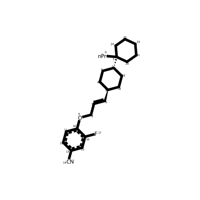 CCCC1([C@H]2CC[C@H](/C=C/COc3ccc(C#N)cc3F)CC2)CCCCC1